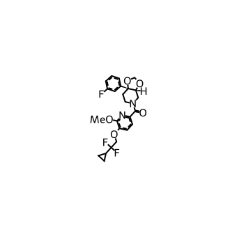 COc1nc(C(=O)N2CC[C@]3(c4cccc(F)c4)OCO[C@@H]3C2)ccc1OCC(F)(F)C1CC1